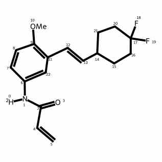 [2H]N(C(=O)C=C)c1ccc(OC)c(/C=C/C2CCC(F)(F)CC2)c1